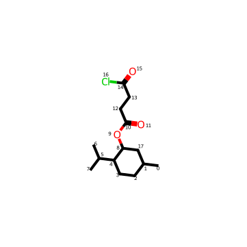 CC1CCC(C(C)C)C(OC(=O)CCC(=O)Cl)C1